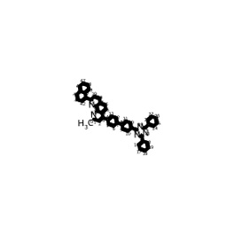 Cc1cc(-c2ccc(-c3ccc(-c4nc(-c5ccccc5)nc(-c5ccccc5)n4)cc3)cc2)c2ccc3ccc(-c4cccc5ccccc45)nc3c2n1